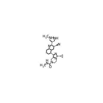 CN/C=C(\C=N)c1nc2cccc(-c3nc(C4CC4)n4c3CN(C(=O)NC)CC4)c2cc1C#N